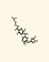 C/C(=N\OCCN(C)C)c1cc(C)c(Nc2ncc(Cl)c(Nc3cc(C)[nH]n3)n2)cc1C